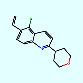 C=Cc1ccc2nc(C3CCOCC3)ccc2c1F